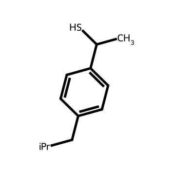 CC(C)Cc1ccc(C(C)S)cc1